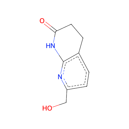 O=C1CCc2ccc(CO)nc2N1